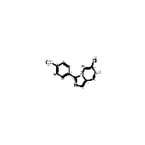 Cc1ccc(-c2ncc3cnc(Cl)cn23)cc1